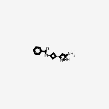 Nc1cc([C@H]2C[C@@H](NC(=O)c3ccccc3)C2)n[nH]1